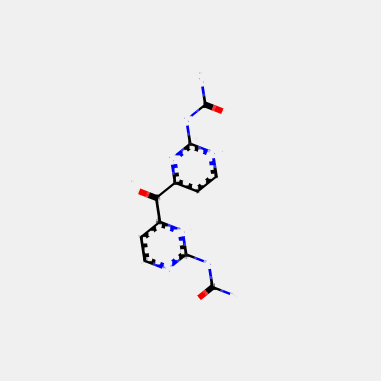 NC(=O)Nc1nccc(C(=O)c2ccnc(NC(N)=O)n2)n1